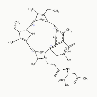 C=CC1C(C)=C2/C=C3N=C(/C(CC(=O)O)=c4\[nH]/c(c(C)c4C(=O)O)=C\C4=NC(=C\C1N2)/C(C)=C4CC)[C@H](CCC(=O)NC(CC(=O)O)C(=O)O)C\3C